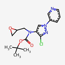 CC(C)(C)OC(=O)N(CC1CO1)c1cn(-c2cccnc2)nc1Cl